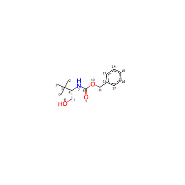 CC(C)(C)[C@@H](CO)NC(=O)OCc1ccccc1